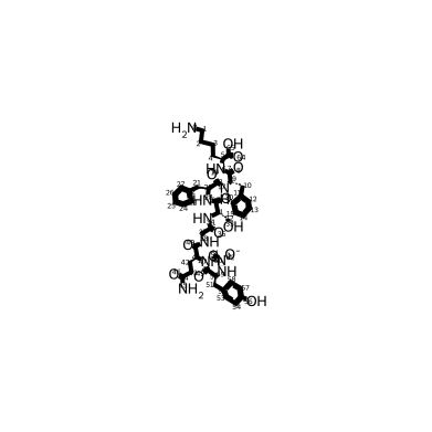 NCCCC[C@H](NC(=O)[C@H](Cc1ccccc1)NC(=O)[C@H](Cc1ccccc1)NC(=O)[C@H](CO)NC(=O)CNC(=O)[C@H](CCC(N)=O)NC(=O)[C@H](Cc1ccc(O)cc1)N[N+](=O)[O-])C(=O)O